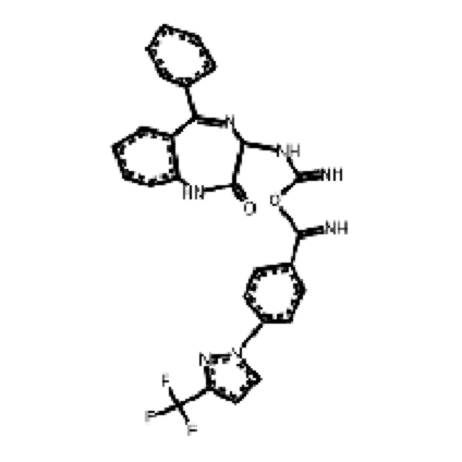 N=C(NC1N=C(c2ccccc2)c2ccccc2NC1=O)OC(=N)c1ccc(-n2ccc(C(F)(F)F)n2)cc1